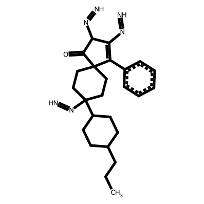 CCCC1CCC(C2(N=N)CCC3(CC2)C(=O)C(N=N)C(N=N)=C3c2ccccc2)CC1